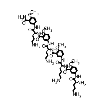 COc1ccc(NC(=O)[C@H](CCCN)NC(=O)c2cc(NC(=O)[C@H](CCCN)NC(=O)c3cc(NC(=O)[C@H](CCCCN)NC(=O)c4cc(NC(=O)[C@@H](N)CCCN)ccc4OC)ccc3OC)ccc2OC)cc1C(N)=O